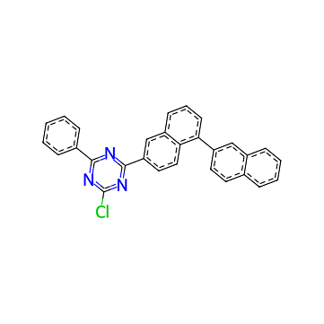 Clc1nc(-c2ccccc2)nc(-c2ccc3c(-c4ccc5ccccc5c4)cccc3c2)n1